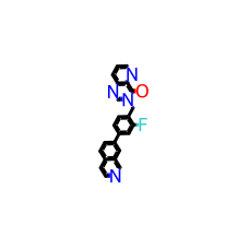 O=c1c2ncccc2ncn1Cc1ccc(-c2ccc3ccncc3c2)cc1F